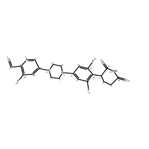 O=Cc1ncc(N2CCN(c3cc(F)c(C4CCC(=O)NC4=O)c(F)c3)CC2)cc1F